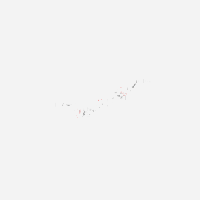 CCCCCCC#CCCOC(=O)C(C)(C)CCCCCC(O)CCCCCC(C)(C)C(=O)OCCC#CCCCCCC